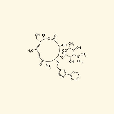 CC[C@H]1OC(=O)C[C@@H](O)[C@H](C)[C@@H](O[C@@H]2O[C@H](C)[C@@H](O)C(N(C)C)C2O)[C@@H](CCn2cc(-c3ccccc3)nn2)C[C@@H](C)C(=O)/C=C/C(C)=C/[C@@H]1CO